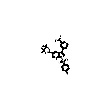 Cc1ccc(S(=O)(=O)n2cc(-c3ccnc(C(F)F)c3)c3cc(B4OC(C)(C)C(C)(C)O4)cnc32)cc1